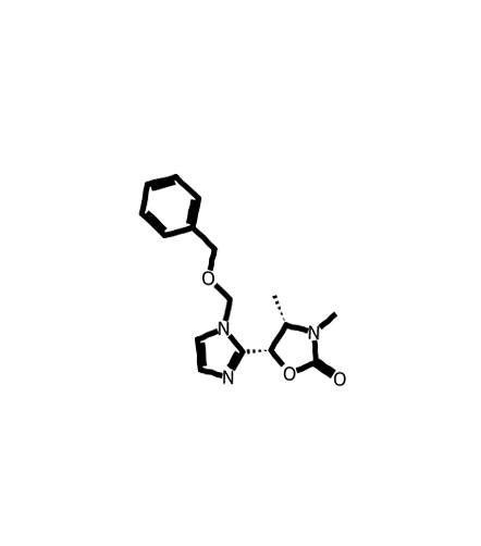 C[C@H]1[C@@H](c2nccn2COCc2ccccc2)OC(=O)N1C